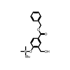 CC(C)(C)[Si](C)(C)Oc1ccc(C(=O)OCc2ccccc2)cc1CO